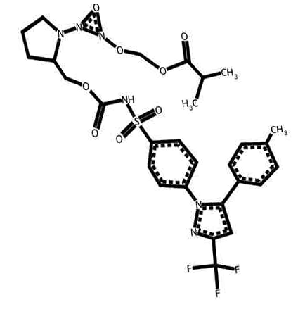 Cc1ccc(-c2cc(C(F)(F)F)nn2-c2ccc(S(=O)(=O)NC(=O)OCC3CCCN3n3on3OCOC(=O)C(C)C)cc2)cc1